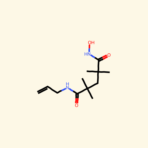 C=CCNC(=O)C(C)(C)CC(C)(C)C(=O)NO